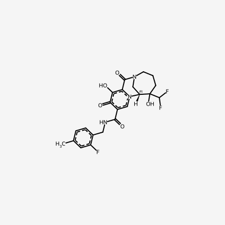 Cc1ccc(CNC(=O)c2cn3c(c(O)c2=O)C(=O)N2CCCC(O)(C(F)F)[C@H]3C2)c(F)c1